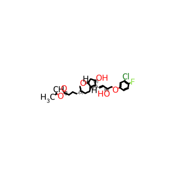 CC(C)OC(=O)CCC[C@H]1CC[C@@H]2[C@@H](C=C[C@@H](O)COc3ccc(F)c(Cl)c3)[C@H](O)C[C@@H]2OC1